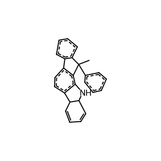 CC1(c2ccccc2)c2ccccc2-c2ccc3c(c21)NC1C=CC=CC31